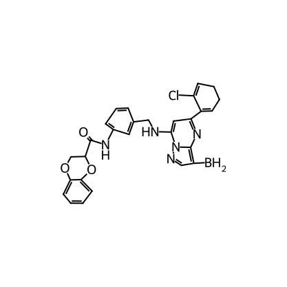 Bc1cnn2c(NCc3cccc(NC(=O)C4COc5ccccc5O4)c3)cc(C3=CCCC=C3Cl)nc12